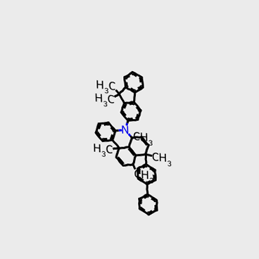 CC1C=CC2(C)C3=C1C(C)(c1ccc(-c4ccccc4)cc1)C=CC3(C)N(c1ccc3c(c1)C(C)(C)c1ccccc1-3)c1ccccc12